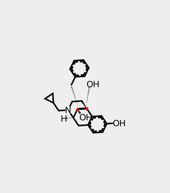 Oc1ccc2c(c1)[C@]13CCN(CC4CC4)[C@H](C2)[C@]1(O)C[C@H](Cc1ccccc1)[C@H](O)C3